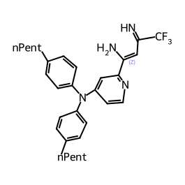 CCCCCc1ccc(N(c2ccc(CCCCC)cc2)c2ccnc(/C(N)=C/C(=N)C(F)(F)F)c2)cc1